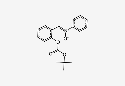 CC(C)(C)OC(=O)Oc1ccccc1C=[N+]([O-])c1ccccc1